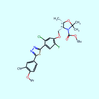 [C-]#[N+]c1cc(-c2nnc(-c3cc(F)c(OC[C@@H]4[C@H](C)OC(C)(C)N4C(=O)OC(C)(C)C)cc3Cl)s2)ccc1OC(C)C